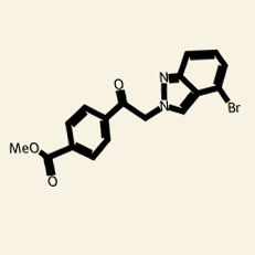 COC(=O)c1ccc(C(=O)Cn2cc3c(Br)cccc3n2)cc1